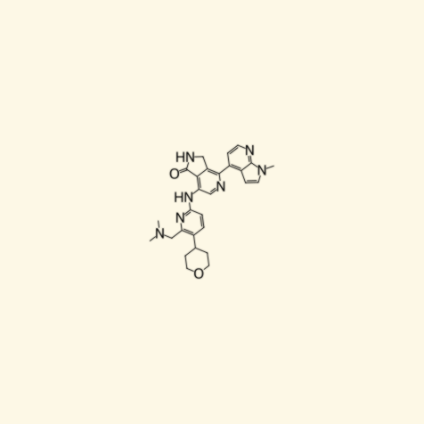 CN(C)Cc1nc(Nc2cnc(-c3ccnc4c3ccn4C)c3c2C(=O)NC3)ccc1C1CCOCC1